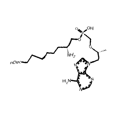 CCCCCCCCCCCCCCCC[C@@H](N)COP(=O)(O)CO[C@H](C)Cn1cnc2c(N)ncnc21